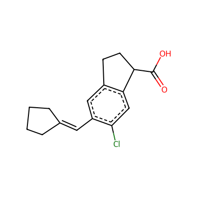 O=C(O)C1CCc2cc(C=C3CCCC3)c(Cl)cc21